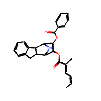 C/C=C\C=C(/C)C(=O)OC1C2NC(C1OC(=O)c1ccccc1)C1c3ccccc3CC21